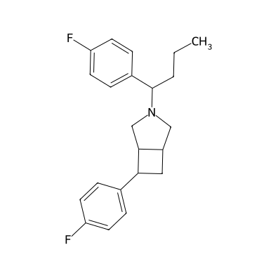 CCCC(c1ccc(F)cc1)N1CC2CC(c3ccc(F)cc3)C2C1